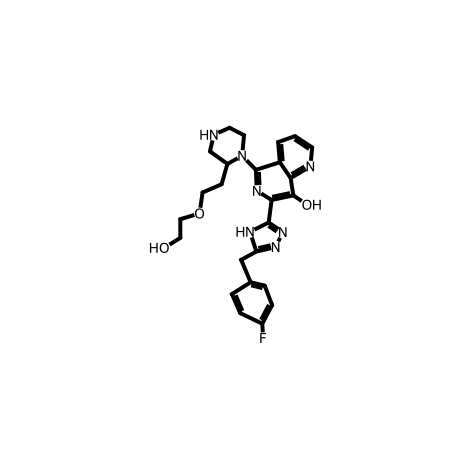 OCCOCCC1CNCCN1c1nc(-c2nnc(Cc3ccc(F)cc3)[nH]2)c(O)c2ncccc12